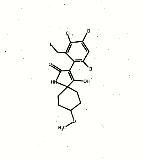 COC1CCC2(CC1)NC(=O)C(c1c(Cl)cc(Cl)c(C)c1CI)=C2O